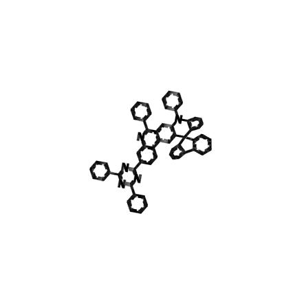 c1ccc(-c2nc(-c3ccccc3)nc(-c3ccc4c(c3)nc(-c3ccccc3)c3cc5c(cc34)C3(c4ccccc4-c4ccccc43)c3ccccc3N5c3ccccc3)n2)cc1